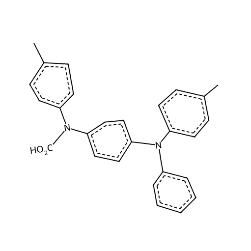 Cc1ccc(N(C(=O)O)c2ccc(N(c3ccccc3)c3ccc(C)cc3)cc2)cc1